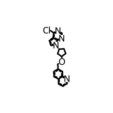 Clc1ncnc2c1ccn2C1CCC(OCc2ccc3cccnc3c2)C1